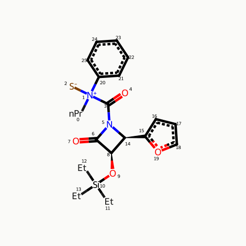 CCC[N+]([S-])(C(=O)N1C(=O)[C@H](O[Si](CC)(CC)CC)[C@@H]1c1ccco1)c1ccccc1